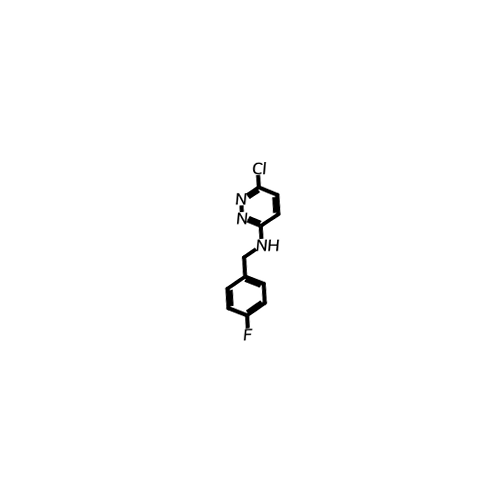 Fc1ccc(CNc2ccc(Cl)nn2)cc1